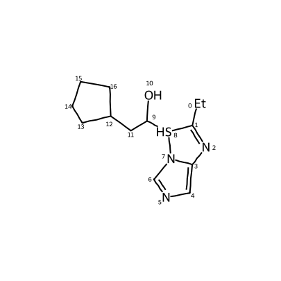 CCC1=Nc2cncn2[SH]1C(O)CC1CCCC1